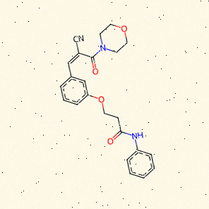 N#CC(=Cc1cccc(OCCC(=O)Nc2[c]cccc2)c1)C(=O)N1CCOCC1